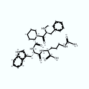 CN[C@@H](Cc1ccccc1)C(=O)N1CCCC[C@H]1C(=O)N[C@@H](Cc1c[nH]c2ccccc12)C(=O)N[C@@H](CCCNC(N)=O)C(=O)O